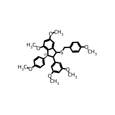 COc1ccc(CSC2c3cc(OC)cc(OC)c3[C@H](c3ccc(OC)cc3)C2c2cc(OC)cc(OC)c2)cc1